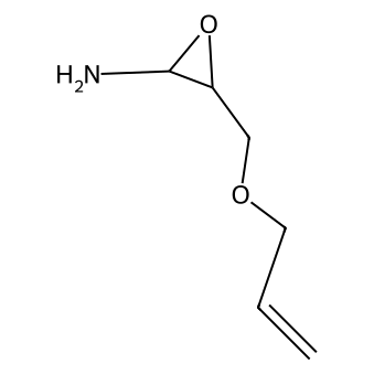 C=CCOCC1OC1N